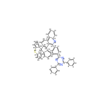 c1ccc(-c2nc(-c3ccccc3)nc(-c3ccc(-c4nc5ccccc5c5ccc6c(c45)-c4ccccc4C64c5ccccc5Sc5ccccc54)cc3)n2)cc1